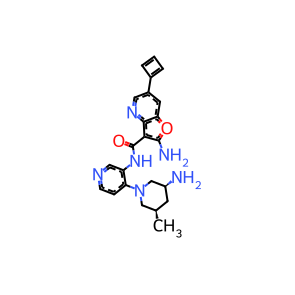 C[C@@H]1C[C@H](N)CN(c2ccncc2NC(=O)c2c(N)oc3cc(C4=CC=C4)cnc23)C1